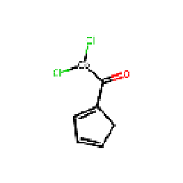 O=[C](C1=CC=CC1)[Co]([Cl])[Cl]